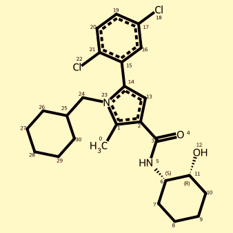 Cc1c(C(=O)N[C@H]2CCCC[C@H]2O)cc(-c2cc(Cl)ccc2Cl)n1CC1CCCCC1